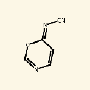 N#CN=c1ccnco1